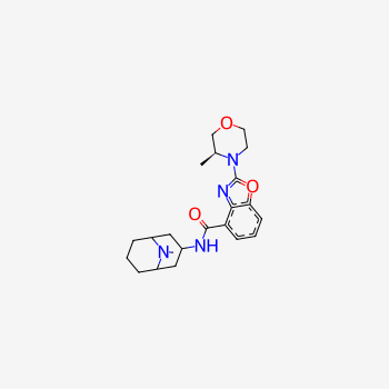 C[C@H]1COCCN1c1nc2c(C(=O)NC3CC4CCCC(C3)N4C)cccc2o1